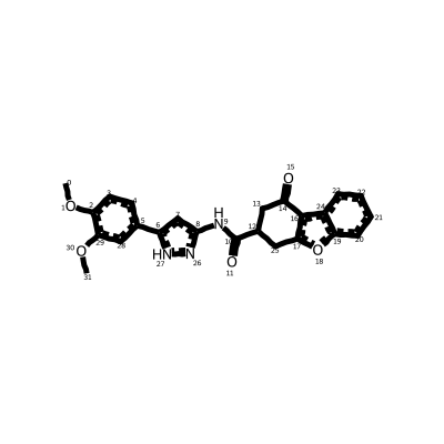 COc1ccc(-c2cc(NC(=O)C3CC(=O)c4c(oc5ccccc45)C3)n[nH]2)cc1OC